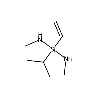 C=C[Si](NC)(NC)C(C)C